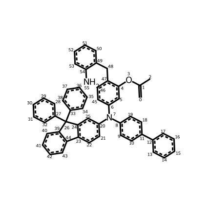 C=C(C)Oc1cc(N(c2ccc(-c3ccccc3)cc2)c2ccc3c(c2)C(c2ccccc2)(c2ccccc2)c2ccccc2-3)ccc1Cc1ccccc1N